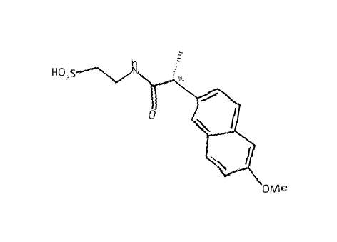 COc1ccc2cc([C@@H](C)C(=O)NCCS(=O)(=O)O)ccc2c1